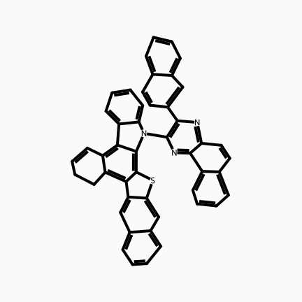 C1=Cc2c(c3c4cc5ccccc5cc4sc3c3c2c2ccccc2n3-c2nc3c(ccc4ccccc43)nc2-c2ccc3ccccc3c2)CC1